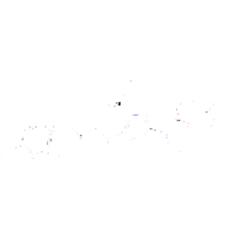 CN(C(=O)OC(C)(C)C)c1nc(C(=O)O)c(CCCOc2ccc(I)cc2F)s1